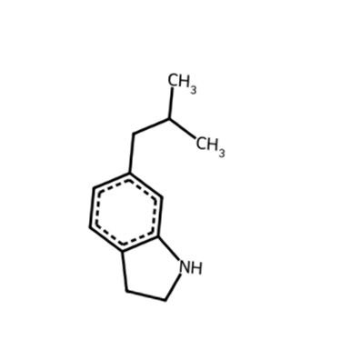 CC(C)Cc1ccc2c(c1)NCC2